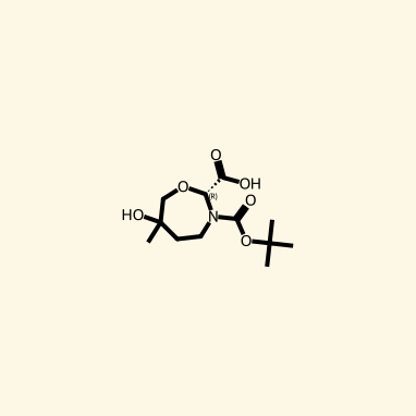 CC1(O)CCN(C(=O)OC(C)(C)C)[C@@H](C(=O)O)OC1